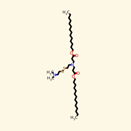 CCCCCCCCCCCCCCOC(=O)CCN(CCSSCCN(C)C)CCC(=O)OCCCCCCCCCCCCCC